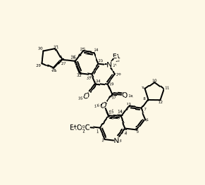 CCOC(=O)c1cnc2ccc(C3CCCC3)cc2c1OC(=O)c1cn(CC)c2ccc(C3CCCC3)cc2c1=O